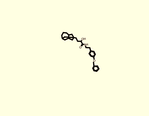 O=C(NCCc1ccc(OCc2ccccc2)cc1)C(O)CCC12CC3CCCC(C1)C(C3)C2